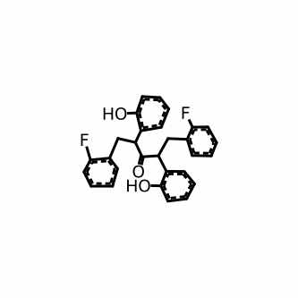 O=C(C(Cc1ccccc1F)c1ccccc1O)C(Cc1ccccc1F)c1ccccc1O